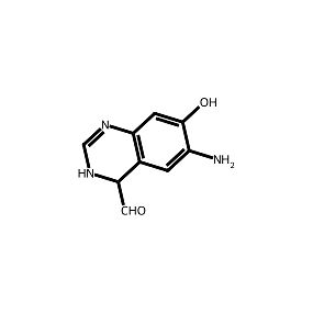 Nc1cc2c(cc1O)N=CNC2C=O